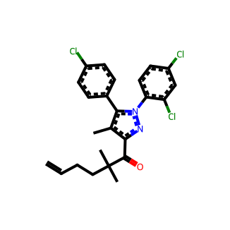 C=CCCC(C)(C)C(=O)c1nn(-c2ccc(Cl)cc2Cl)c(-c2ccc(Cl)cc2)c1C